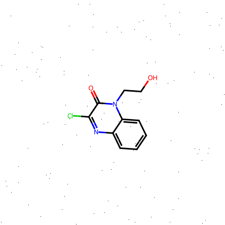 O=c1c(Cl)nc2ccccc2n1CCO